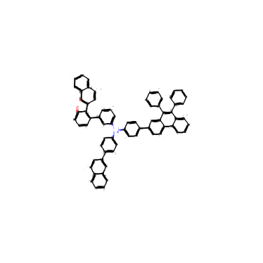 c1ccc(-c2c(-c3ccccc3)c3cc(-c4ccc(N(c5ccc(-c6ccc7ccccc7c6)cc5)c5cccc(-c6cccc7oc8c9ccccc9ccc8c67)c5)cc4)ccc3c3ccccc23)cc1